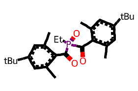 CCP(=O)(C(=O)c1c(C)cc(C(C)(C)C)cc1C)C(=O)c1c(C)cc(C(C)(C)C)cc1C